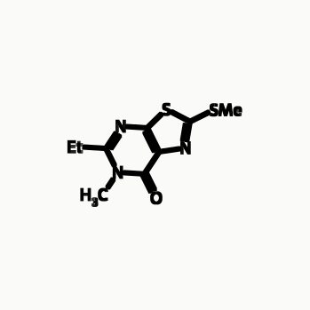 CCc1nc2sc(SC)nc2c(=O)n1C